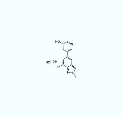 Cl.Cl.Cn1cc2cc(-c3cncc(O)c3)cc(F)c2n1